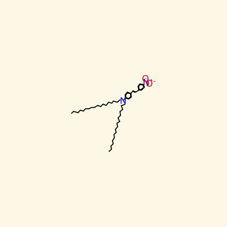 CCCCCCCCCCCCCCCCCCN(CCCCCCCCCCCCCCCCCC)c1ccc(C=Cc2ccc([N+](=O)[O-])cc2)cc1